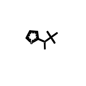 CN(c1ccco1)C(C)(C)C